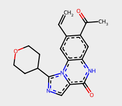 C=Cc1cc2c(cc1C(C)=O)[nH]c(=O)c1cnc(C3CCOCC3)n12